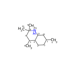 CC1CCC2C(C)CC(C)(C)NC2C1